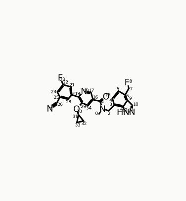 CN(Cc1ccc(CF)c2cn[nH]c12)C(=O)c1cnc(-c2cc(F)cc(C#N)c2)c(OC2CC2)c1